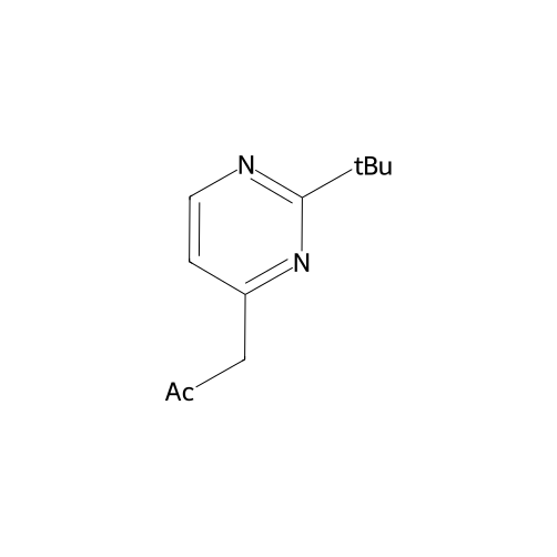 CC(=O)Cc1ccnc(C(C)(C)C)n1